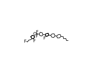 CCCCCC1CCC(C2CCC(c3ccc(C4CCC(C(F)(F)Oc5ccc(CCCF)c(F)c5)CC4)c(F)c3)CC2)CC1